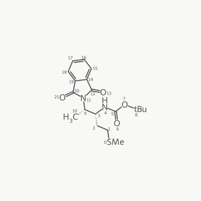 CSCC[C@@H](NC(=O)OC(C)(C)C)[C@H](C)N1C(=O)c2ccccc2C1=O